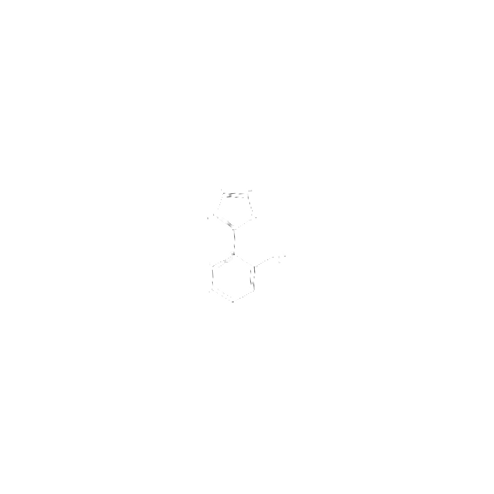 CCCCc1ccccc1-c1ncc[nH]1